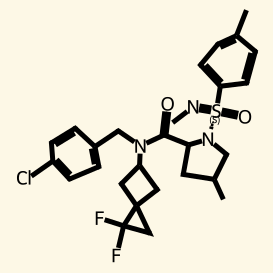 CN=[S@](=O)(c1ccc(C)cc1)N1CC(C)CC1C(=O)N(Cc1ccc(Cl)cc1)C1CC2(C1)CC2(F)F